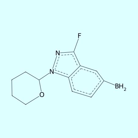 Bc1ccc2c(c1)c(F)nn2C1CCCCO1